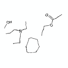 C1CCCCC1.CCN(CC)CC.CCOC(C)=O.CO